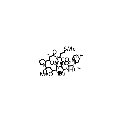 CC[C@H](C)[C@@H](C(CC(=O)N1CCC[C@H]1[C@H](OC)[C@@H](C)C(=O)N[C@@H](CCSC)C(=O)O)OC)N(C)C(=O)[C@@H](NC(=O)[C@H](C(C)C)N1CCNCC1)C(C)C